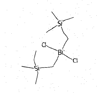 C[Si](C)(C)[CH2][Bi-]([Cl])([Cl])[CH2][Si](C)(C)C